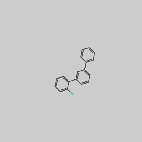 Fc1ccccc1-c1[c]ccc(-c2ccccc2)c1